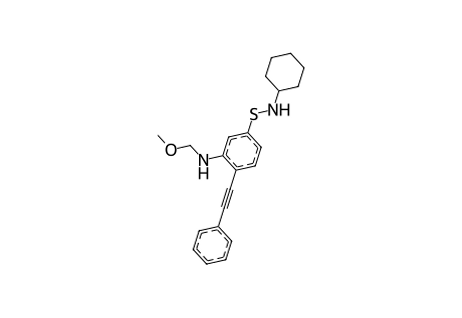 COCNc1cc(SNC2CCCCC2)ccc1C#Cc1ccccc1